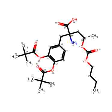 CCCCOC(=O)O[C@@H](C)CC(N)(Cc1ccc(OC(=O)C(C)(C)C)c(OC(=O)C(C)(C)C)c1)C(=O)O